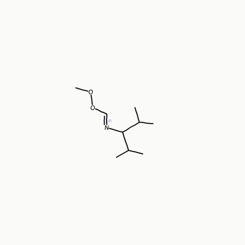 COO/C=N/C(C(C)C)C(C)C